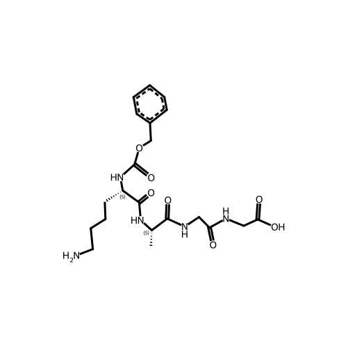 C[C@H](NC(=O)[C@H](CCCCN)NC(=O)OCc1ccccc1)C(=O)NCC(=O)NCC(=O)O